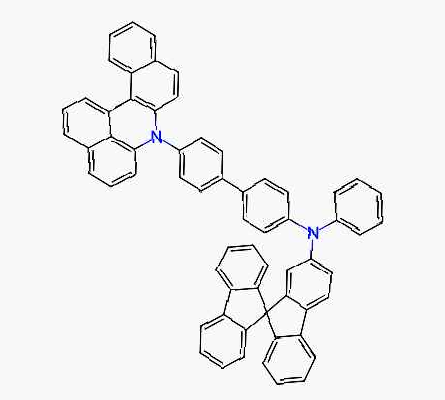 c1ccc(N(c2ccc(-c3ccc(N4c5ccc6ccccc6c5-c5cccc6cccc4c56)cc3)cc2)c2ccc3c(c2)C2(c4ccccc4-c4ccccc42)c2ccccc2-3)cc1